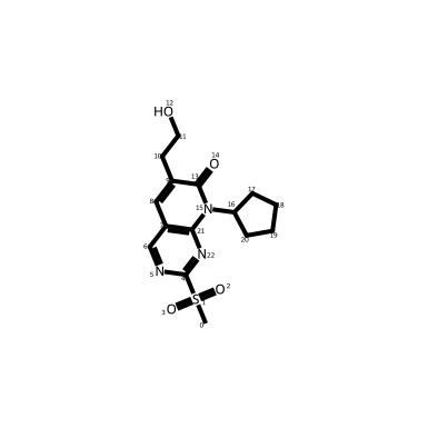 CS(=O)(=O)c1ncc2cc(CCO)c(=O)n(C3CCCC3)c2n1